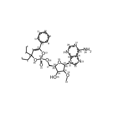 CCC1(CC)C=C(c2ccccc2)OP(=O)(OC[C@H]2O[C@@H](n3cnc4c(N)ncnc43)C(OC)C2O)O1